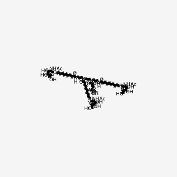 CC(=O)NC1[C@H](OCCCCCCCCCC(=O)NCCCN(CCCN(CCCNC(=O)CCCCCCCCCO[C@@H]2OC(CO)[C@H](O)[C@H](O)C2NC(C)=O)C(=O)C(O)COP(C)(=O)O)C(=O)CCCCCCCCCO[C@@H]2OC(CO)[C@H](O)[C@H](O)C2NC(C)=O)OC(CO)[C@H](O)[C@@H]1O